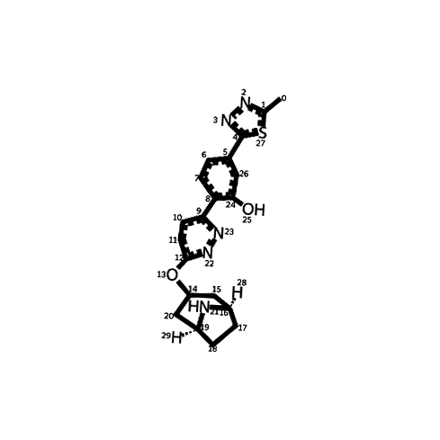 Cc1nnc(-c2ccc(-c3ccc(OC4C[C@H]5CC[C@@H](C4)N5)nn3)c(O)c2)s1